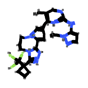 Cc1cnc(Nc2ccnn2C)nc1-c1cc2n(c1)CCCn1c-2nnc1C1(C(F)(F)F)CCC1